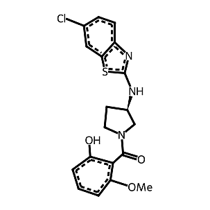 COc1cccc(O)c1C(=O)N1CC[C@@H](Nc2nc3ccc(Cl)cc3s2)C1